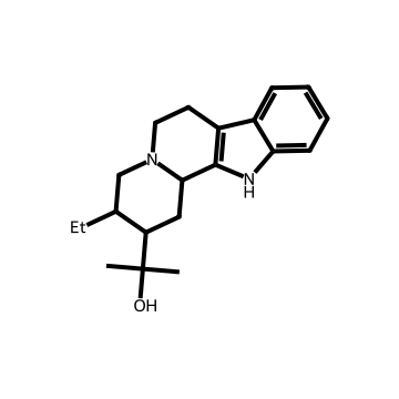 CCC1CN2CCc3c([nH]c4ccccc34)C2CC1C(C)(C)O